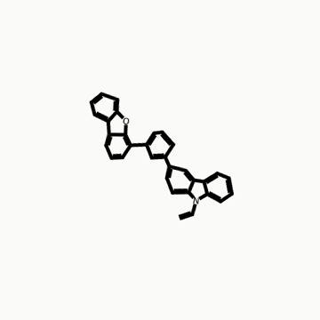 C=Cn1c2ccccc2c2cc(-c3cccc(-c4cccc5c4oc4ccccc45)c3)ccc21